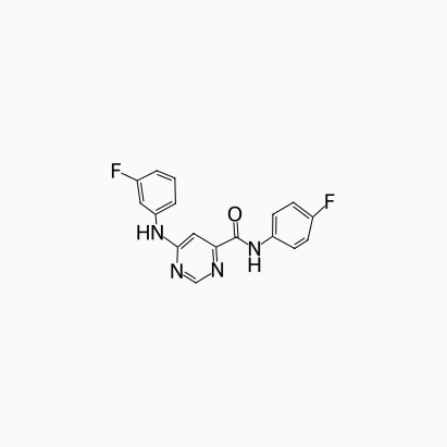 O=C(Nc1ccc(F)cc1)c1cc(Nc2cccc(F)c2)ncn1